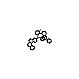 c1ccc(-c2ccc(N(c3ccc4c(ccc5ccc6ccccc6c54)c3)c3cccc4oc5ccc6ccccc6c5c34)cc2)cc1